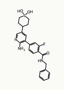 Nc1ncc(C2CCS(O)(O)CC2)cc1-c1ccc(C(=O)NCc2ccccc2)c(F)c1